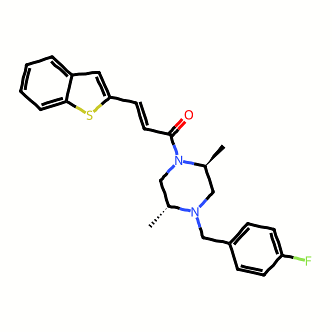 C[C@@H]1CN(C(=O)C=Cc2cc3ccccc3s2)[C@@H](C)CN1Cc1ccc(F)cc1